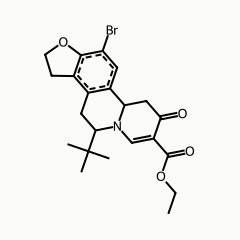 CCOC(=O)C1=CN2C(CC1=O)c1cc(Br)c3c(c1CC2C(C)(C)C)CCO3